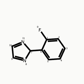 Fc1ccccc1C1N=CC=N1